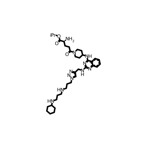 CC(C)OC(=O)[C@@H](N)CCC(=O)N1CCC(Nc2nc(NCc3cn(CCCNCCCNC4CCCCC4)nn3)nc3ccccc23)CC1